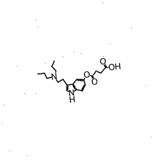 CCCN(CCC)CCc1c[nH]c2ccc(OC(=O)CCC(=O)O)cc12